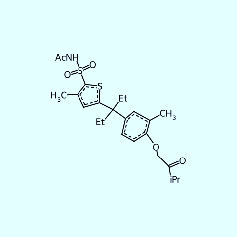 CCC(CC)(c1ccc(OCC(=O)C(C)C)c(C)c1)c1cc(C)c(S(=O)(=O)NC(C)=O)s1